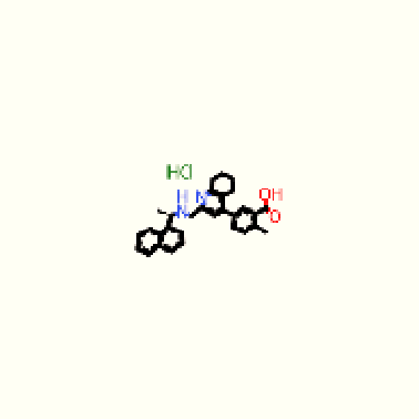 Cc1ccc(-c2cc(CN[C@H](C)c3cccc4ccccc34)nc3c2CCCC3)cc1C(=O)O.Cl